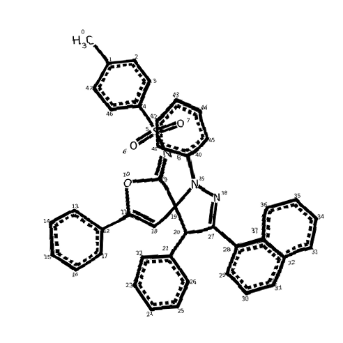 Cc1ccc(S(=O)(=O)/N=C2\OC(c3ccccc3)=CC23C(c2ccccc2)C(c2cccc4ccccc24)=NN3c2ccccc2)cc1